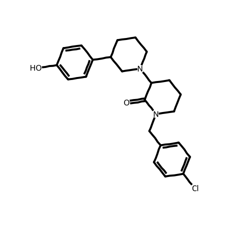 O=C1C(N2CCCC(c3ccc(O)cc3)C2)CCCN1Cc1ccc(Cl)cc1